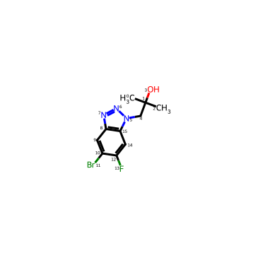 CC(C)(O)Cn1nnc2cc(Br)c(F)cc21